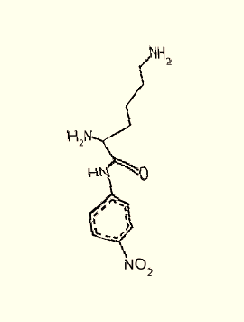 NCCCCC(N)C(=O)Nc1ccc([N+](=O)[O-])cc1